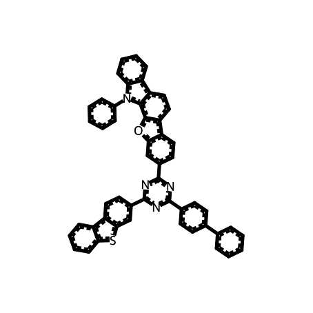 c1ccc(-c2ccc(-c3nc(-c4ccc5c(c4)oc4c5ccc5c6ccccc6n(-c6ccccc6)c54)nc(-c4ccc5c(c4)sc4ccccc45)n3)cc2)cc1